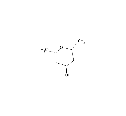 C[C@@H]1C[C@@H](O)C[C@H](C)O1